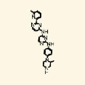 Cc1cccc(-c2nccc(Nc3ccnc(Nc4ccc(N5CCNCC5C)cc4)n3)n2)n1